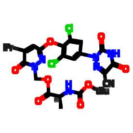 CC(C)c1cc(Oc2c(Cl)cc(-n3nc(C#N)c(=O)[nH]c3=O)cc2Cl)nn(COC(=O)[C@H](C)NC(=O)OC(C)(C)C)c1=O